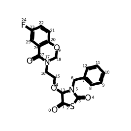 O=C1SC(=O)N(Cc2ccccc2)C1OCCN1COc2ccc(F)cc2C1=O